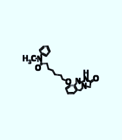 CN(C(=O)CCCCCCOc1cccc2c1N=C1NC(=O)CN1C2)c1ccccc1